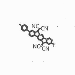 Cc1ccc(-c2ccc3c(c2)C(=C(C#N)C#N)c2cc4c(cc2-3)C(=C(C#N)C#N)c2cc(F)ccc2-4)cc1